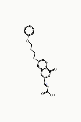 O=C(O)/C=C/c1cc(=O)c2ccc(OCCCOc3ccccc3)cc2o1